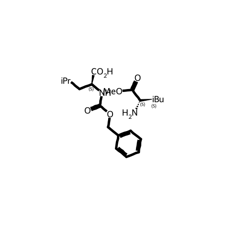 CC(C)C[C@H](NC(=O)OCc1ccccc1)C(=O)O.CC[C@H](C)[C@H](N)C(=O)OC